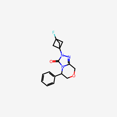 O=c1n(C23CC(F)(C2)C3)nc2n1C(c1ccccc1)COC2